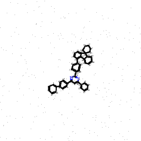 c1ccc(-c2ccc(-c3cc(-c4ccccc4)nc(-c4ccc(-c5cccc6c5-c5ccccc5C65CCCCC5)cc4)n3)cc2)cc1